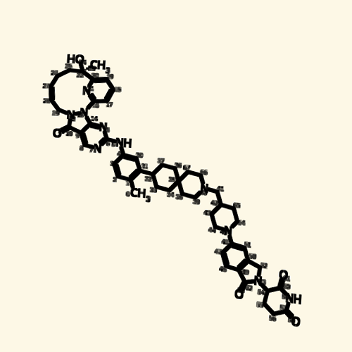 Cc1ccc(Nc2ncc3c(=O)n4n(c3n2)-c2cccc(n2)[C@](C)(O)CC/C=C\C4)cc1C1CCC2(CC1)CCN(CC1CCN(c3ccc4c(c3)CN(C3CCC(=O)NC3=O)C4=O)CC1)CC2